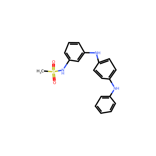 CS(=O)(=O)Nc1cccc(Nc2ccc(Nc3ccccc3)cc2)c1